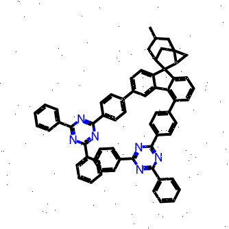 CC1CC2CC3(C1)CC3C21c2ccc(-c3ccc(-c4nc(-c5ccccc5)nc(-c5ccccc5)n4)cc3)cc2-c2c(-c3ccc(-c4nc(-c5ccccc5)nc(-c5ccccc5)n4)cc3)cccc21